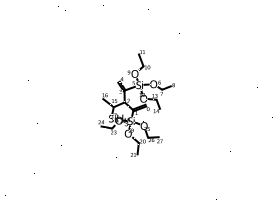 C=C(C(C(=C)[Si](OCC)(OCC)OCC)C(C)[SiH3])[Si](OCC)(OCC)OCC